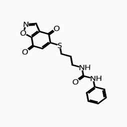 O=C(NCCCSC1=CC(=O)c2oncc2C1=O)Nc1ccccc1